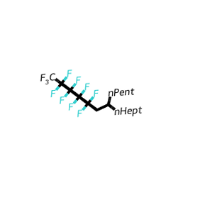 CCCCCCCC(CCCCC)CC(F)(F)C(F)(F)C(F)(F)C(F)(F)C(F)(F)F